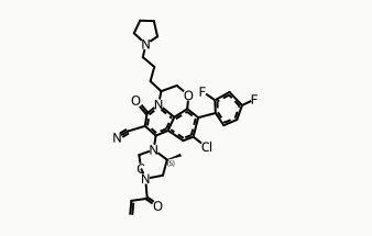 C=CC(=O)N1CCN(c2c(C#N)c(=O)n3c4c(c(-c5ccc(F)cc5F)c(Cl)cc24)OCC3CCCN2CCCC2)[C@@H](C)C1